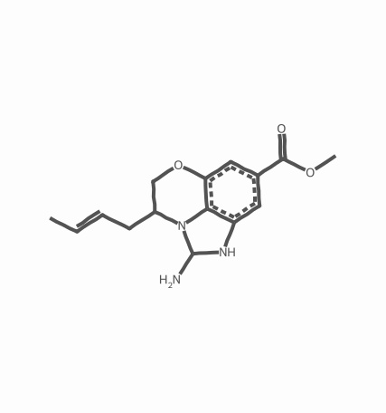 C/C=C/CC1COc2cc(C(=O)OC)cc3c2N1C(N)N3